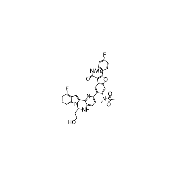 CNC(=O)c1c(-c2ccc(F)cc2)oc2cc(N(C)S(C)(=O)=O)c(-c3ccc4c(n3)-c3cc5c(F)cccc5n3C(CCO)N4)cc12